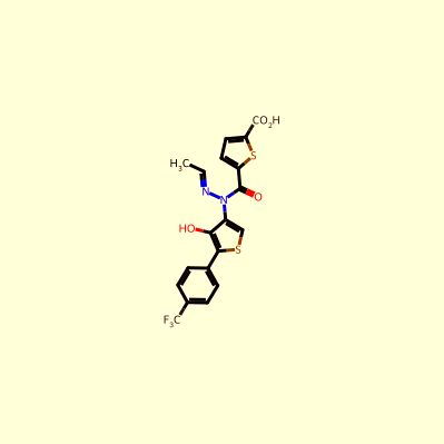 CC=NN(C(=O)c1ccc(C(=O)O)s1)c1csc(-c2ccc(C(F)(F)F)cc2)c1O